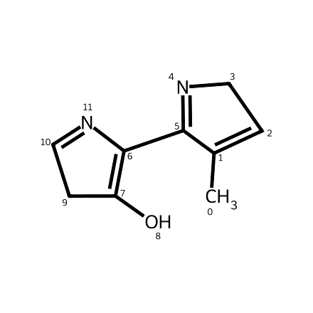 CC1=CCN=C1C1=C(O)CC=N1